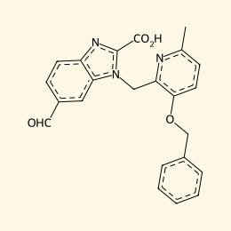 Cc1ccc(OCc2ccccc2)c(Cn2c(C(=O)O)nc3ccc(C=O)cc32)n1